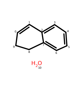 C1=Cc2ccccc2CC1.O